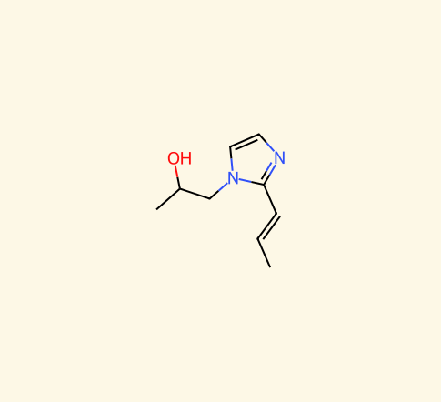 CC=Cc1nccn1CC(C)O